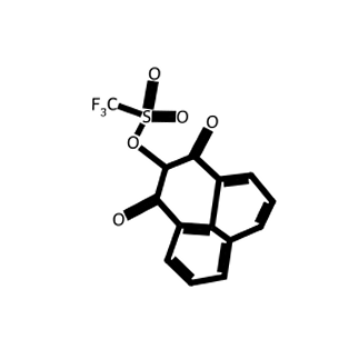 O=C1c2cccc3cccc(c23)C(=O)C1OS(=O)(=O)C(F)(F)F